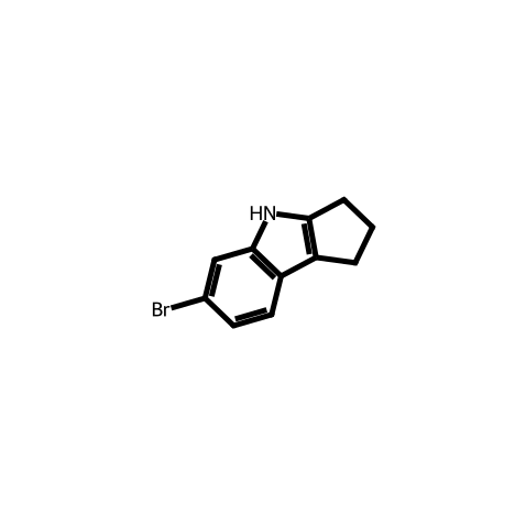 Brc1ccc2c3c([nH]c2c1)CCC3